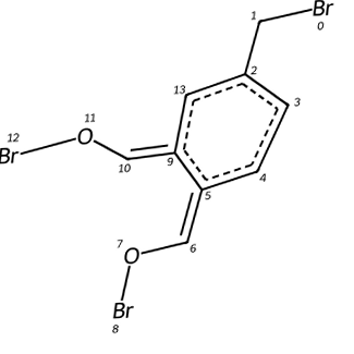 BrCc1ccc(=COBr)c(=COBr)c1